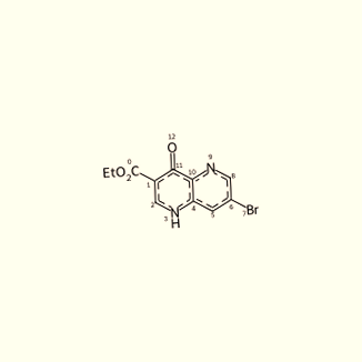 CCOC(=O)c1c[nH]c2cc(Br)cnc2c1=O